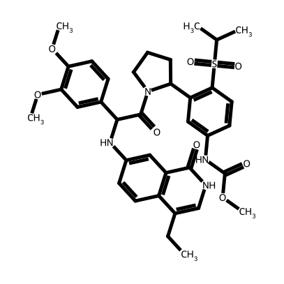 CCc1c[nH]c(=O)c2cc(NC(C(=O)N3CCCC3c3cc(NC(=O)OC)ccc3S(=O)(=O)C(C)C)c3ccc(OC)c(OC)c3)ccc12